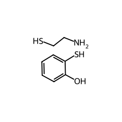 NCCS.Oc1ccccc1S